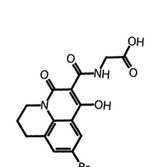 O=C(O)CNC(=O)c1c(O)c2cc(Br)cc3c2n(c1=O)CCC3